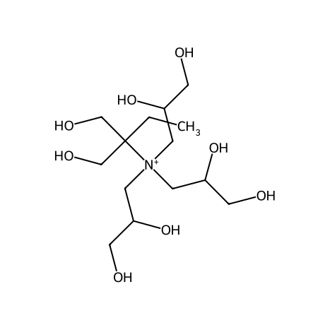 CCC(CO)(CO)[N+](CC(O)CO)(CC(O)CO)CC(O)CO